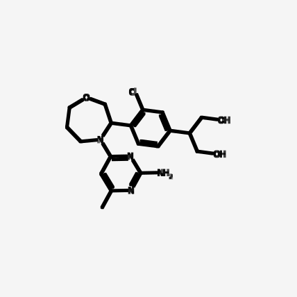 Cc1cc(N2CCCOCC2c2ccc(C(CO)CO)cc2Cl)nc(N)n1